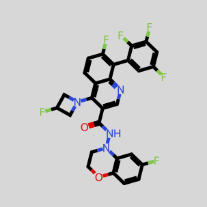 O=C(NN1CCOc2ccc(F)cc21)c1cnc2c(-c3cc(F)cc(F)c3F)c(F)ccc2c1N1CC(F)C1